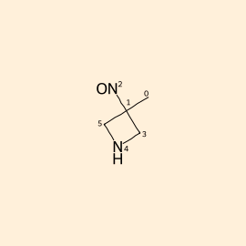 CC1(N=O)CNC1